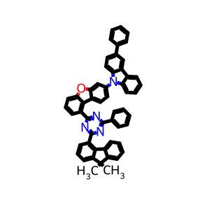 CC1(C)c2ccccc2-c2c(-c3nc(-c4ccccc4)nc(-c4cccc5oc6cc(-n7c8ccccc8c8cc(-c9ccccc9)ccc87)ccc6c45)n3)cccc21